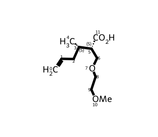 C=CC[C@H](C)[C@@H](COCCOC)C(=O)O